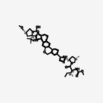 CC[C@@H](C)[C@H](NC(=O)OC)C(=O)N1C[C@@H](C)C[C@H]1c1ncc(-c2ccc3c(c2)COc2cc4c(ccc5nc([C@@]6(C(C)(C)C)C[C@H](COC)CN6C(=O)O)[nH]c54)cc2-3)[nH]1